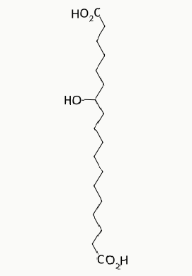 O=C(O)CCCCCCCCCCC(O)CCCCCC(=O)O